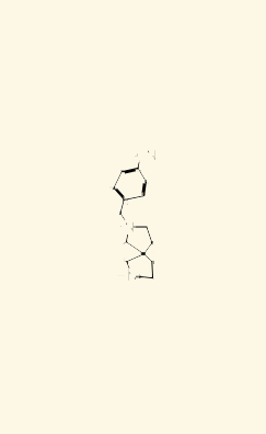 N#Cc1ccc(CN2CCC3(CCNC3)C2)cc1